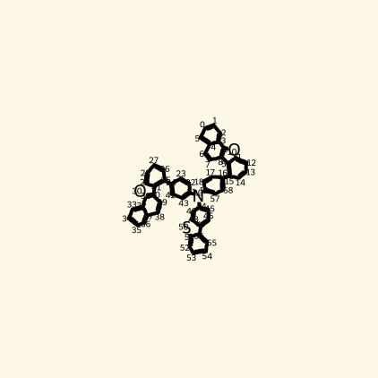 c1ccc2c(c1)ccc1c2oc2cccc(-c3ccc(N(c4ccc(-c5cccc6oc7c8ccccc8ccc7c56)cc4)c4ccc5c(c4)sc4ccccc45)cc3)c21